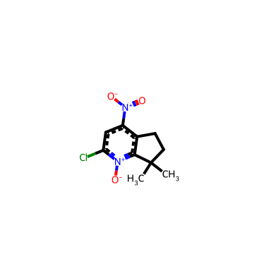 CC1(C)CCc2c([N+](=O)[O-])cc(Cl)[n+]([O-])c21